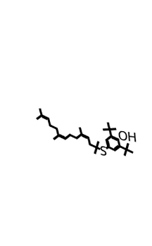 CC(C)=CCCC(C)=CCCC(C)=CCC(C)(C)Sc1cc(C(C)(C)C)c(O)c(C(C)(C)C)c1